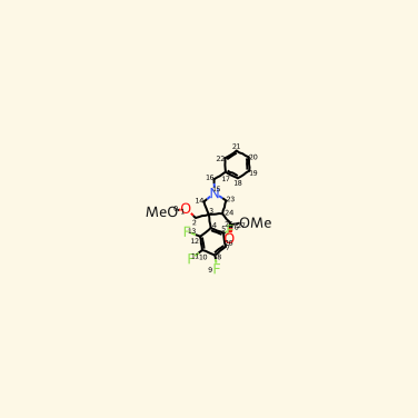 COOCC1(c2c(F)cc(F)c(F)c2F)CN(Cc2ccccc2)CC1C(=O)OC